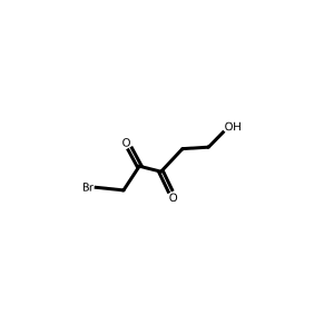 O=C(CBr)C(=O)CCO